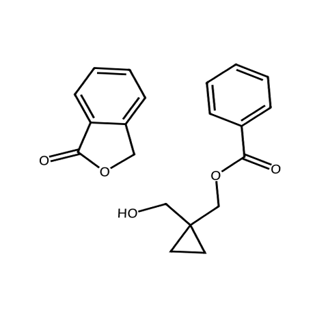 O=C(OCC1(CO)CC1)c1ccccc1.O=C1OCc2ccccc21